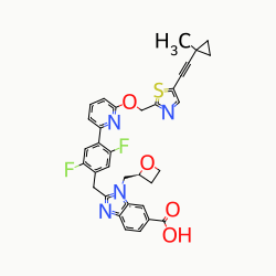 CC1(C#Cc2cnc(COc3cccc(-c4cc(F)c(Cc5nc6ccc(C(=O)O)cc6n5C[C@@H]5CCO5)cc4F)n3)s2)CC1